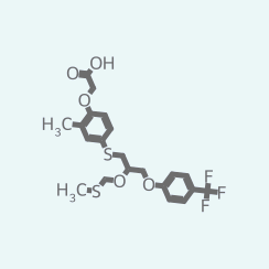 CSCOC(COc1ccc(C(F)(F)F)cc1)CSc1ccc(OCC(=O)O)c(C)c1